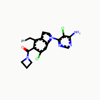 CC(C)Cc1c(C(=O)N2CCC2)c(Cl)cc2c1ccn2-c1ncnc(N)c1Cl